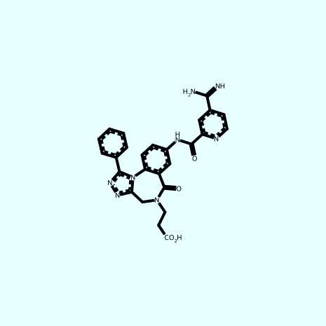 N=C(N)c1ccnc(C(=O)Nc2ccc3c(c2)C(=O)N(CCC(=O)O)Cc2nnc(-c4ccccc4)n2-3)c1